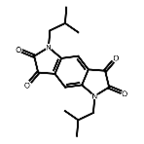 CC(C)Cn1c(=O)c(=O)c2cc3c(cc21)c(=O)c(=O)n3CC(C)C